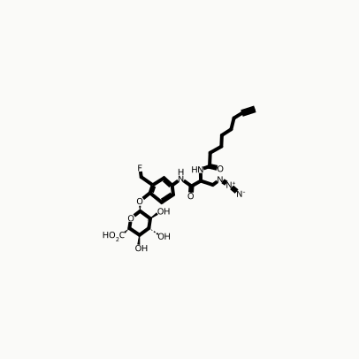 C#CCCCCCC(=O)NC(CN=[N+]=[N-])C(=O)Nc1ccc(O[C@H]2O[C@@H](C(=O)O)[C@H](O)[C@@H](O)[C@@H]2O)c(CF)c1